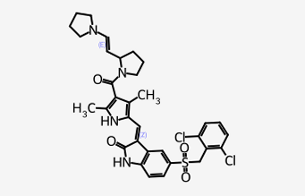 Cc1[nH]c(/C=C2\C(=O)Nc3ccc(S(=O)(=O)Cc4c(Cl)cccc4Cl)cc32)c(C)c1C(=O)N1CCCC1/C=C/N1CCCC1